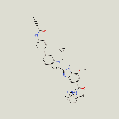 CC#CC(=O)Nc1ccc(-c2ccc3cc(-c4nc5cc(C(=O)N6C[C@H]7CC[C@@H]6[C@@H]7N)cc(OC)c5n4C)n(CC4CC4)c3c2)cc1